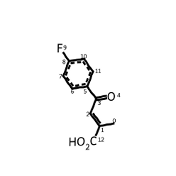 CC(=CC(=O)c1ccc(F)cc1)C(=O)O